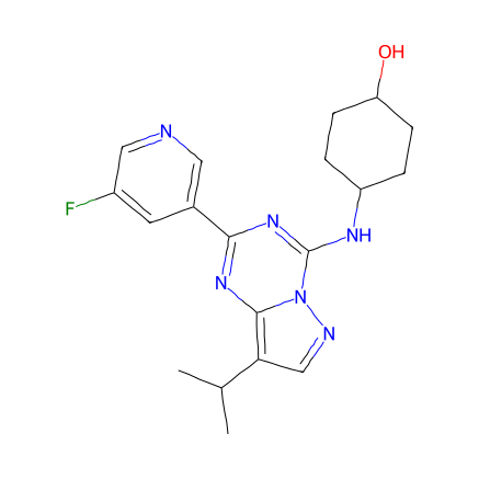 CC(C)c1cnn2c(NC3CCC(O)CC3)nc(-c3cncc(F)c3)nc12